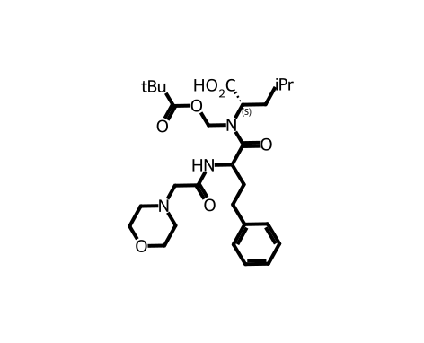 CC(C)C[C@@H](C(=O)O)N(COC(=O)C(C)(C)C)C(=O)C(CCc1ccccc1)NC(=O)CN1CCOCC1